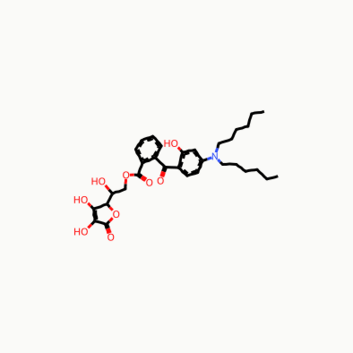 CCCCCCN(CCCCCC)c1ccc(C(=O)c2ccccc2C(=O)OCC(O)C2OC(=O)C(O)=C2O)c(O)c1